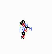 CC(C)(C)Oc1ccc(NC(=O)Nc2cc(C#N)cnc2Oc2ccccc2C(C)(C)C)cc1